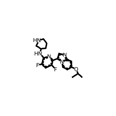 CC(C)Oc1ccn2c(-c3nc(NC4CCCNC4)c(F)cc3F)cnc2c1